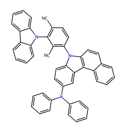 N#Cc1ccc(-n2c3ccc(N(c4ccccc4)c4ccccc4)cc3c3c4ccccc4ccc32)c(C#N)c1-n1c2ccccc2c2ccccc21